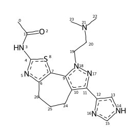 CC(=O)Nc1nc2c(s1)-c1c(c(-c3c[nH]cn3)nn1CCN(C)C)CCC2